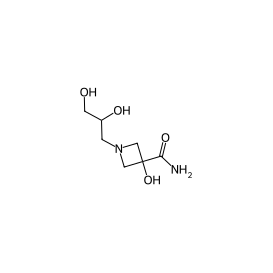 NC(=O)C1(O)CN(CC(O)CO)C1